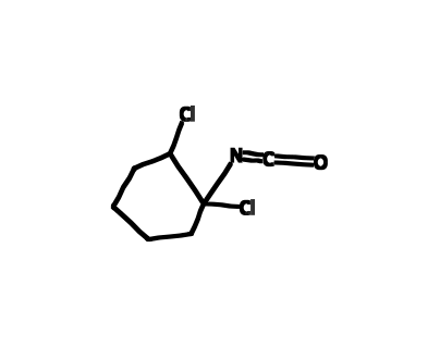 O=C=NC1(Cl)CCCCC1Cl